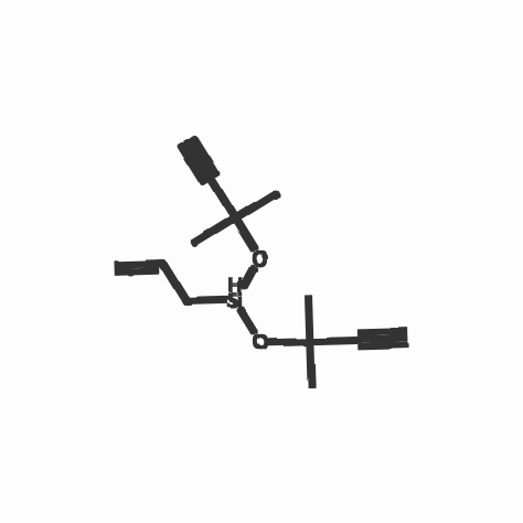 C#CC(C)(C)O[SiH](CC=C)OC(C)(C)C#C